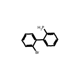 Pc1ccccc1-c1ccccc1Br